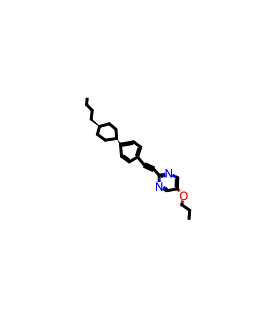 CCCC[C@H]1CC[C@H](c2ccc(C#Cc3ncc(OCCC)cn3)cc2)CC1